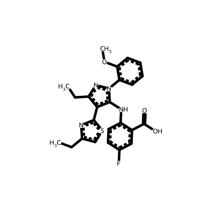 CCc1csc(-c2c(CC)nn(-c3ccccc3OC)c2Nc2ccc(F)cc2C(=O)O)n1